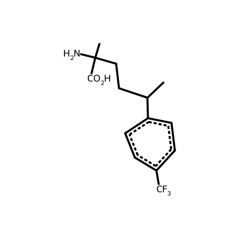 CC(CCC(C)(N)C(=O)O)c1ccc(C(F)(F)F)cc1